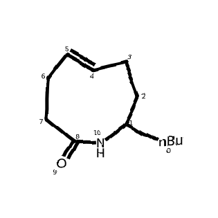 CCCCC1CC/C=C/CCC(=O)N1